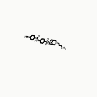 CCCCN1CC2CN(S(=O)(=O)c3ccc(NC(=O)c4ccc(C#N)cc4)cc3)CC(C1)C2(C)C